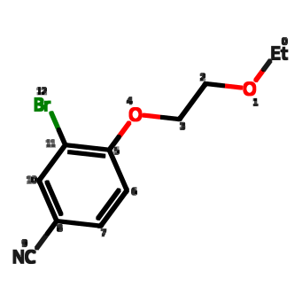 CCOCCOc1ccc(C#N)cc1Br